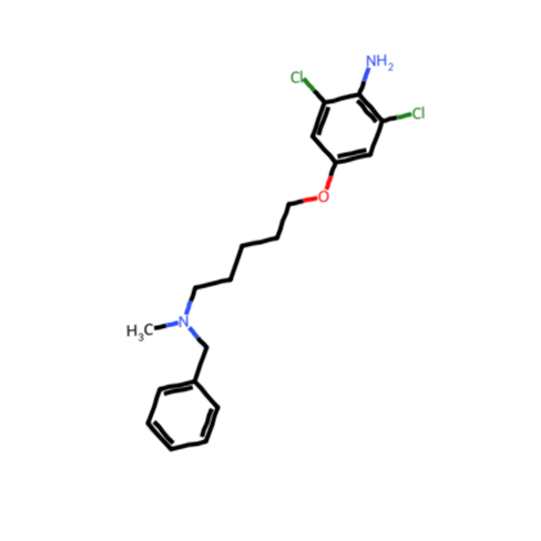 CN(CCCCCOc1cc(Cl)c(N)c(Cl)c1)Cc1ccccc1